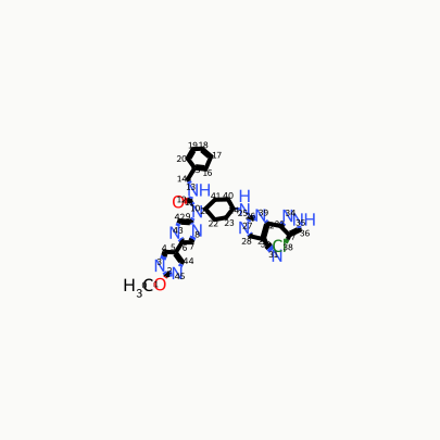 COc1ncc(-c2cnc(N(C(=O)NCc3ccccc3)[C@H]3CC[C@H](Nc4ncc(C#N)c(-c5n[nH]cc5Cl)n4)CC3)cn2)cn1